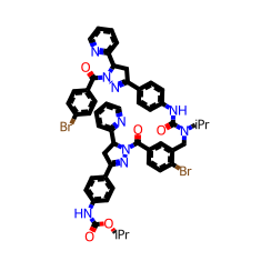 CC(C)OC(=O)Nc1ccc(C2=NN(C(=O)c3ccc(Br)c(CN(C(=O)Nc4ccc(C5=NN(C(=O)c6ccc(Br)cc6)C(c6ccccn6)C5)cc4)C(C)C)c3)C(c3ccccn3)C2)cc1